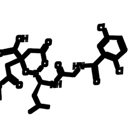 COC(=O)CC1(C(=O)O)CC(=O)OB([C@H](CC(C)C)NC(=O)CNC(=O)c2cc(Cl)ccc2Cl)O1